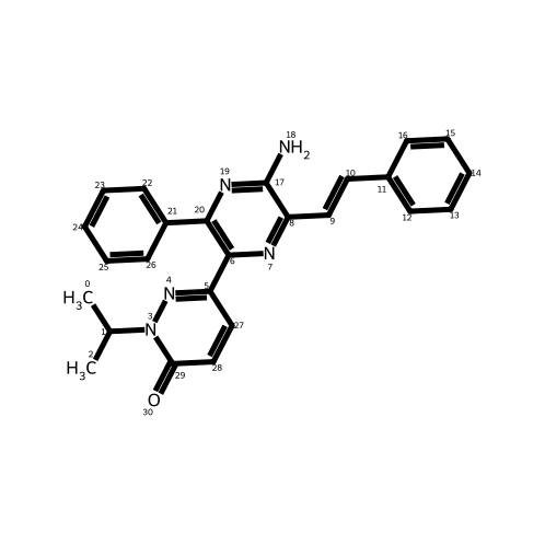 CC(C)n1nc(-c2nc(/C=C/c3ccccc3)c(N)nc2-c2ccccc2)ccc1=O